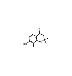 Cc1c(O)ccc2c1OC(C)(C)CC2=O